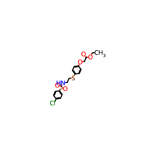 CCOC(=O)COc1ccc(SCCNS(=O)(=O)c2ccc(Cl)cc2)cc1